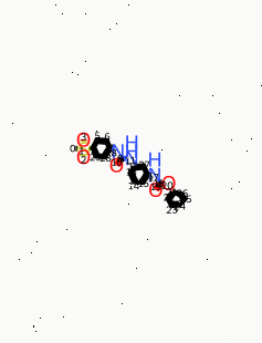 CS(=O)(=O)c1ccc(NC(=O)Nc2cccc(NC(=O)Oc3ccccc3)c2)cc1